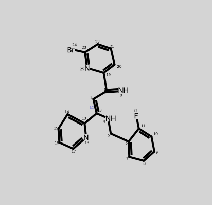 N=C(/C=C(\NCc1ccccc1F)c1ccccn1)c1cccc(Br)n1